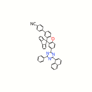 N#Cc1ccc(-c2ccc3c(c2)C2(c4cc(-c5nc(-c6ccccc6)nc(-c6cccc7ccccc67)n5)ccc4O3)c3ccccc3-c3ccccc32)cc1